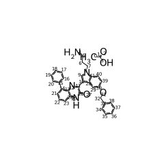 CC(=O)O.NCCCn1cc(-c2nc3c(-c4ccccc4)cccc3[nH]c2=O)c2cc(OCc3ccccc3)ccc21